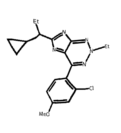 CCC(c1nc2nn(CC)nc(-c3ccc(OC)cc3Cl)c-2n1)C1CC1